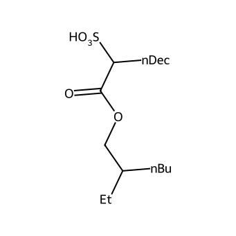 CCCCCCCCCCC(C(=O)OCC(CC)CCCC)S(=O)(=O)O